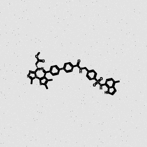 COC(=O)C[C@@H]1N=C(c2ccc(-c3ccc(C(=O)NCc4ccc(S(=O)(=O)Nc5ccc(C)c6cc[nH]c56)cc4)cc3)cc2)c2c(sc(C)c2C)-n2c(C)nnc21